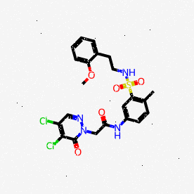 COc1ccccc1CCNS(=O)(=O)c1cc(NC(=O)Cn2ncc(Cl)c(Cl)c2=O)ccc1C